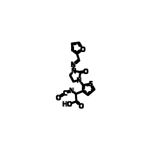 O=C=NC(C(=O)O)c1ccsc1N1CCN(N=Cc2ccco2)C1=O